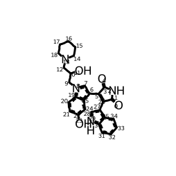 O=C1NC(=O)C(c2cn(CC(O)CN3CCCCC3)c3ccc(O)cc23)=C1c1c[nH]c2ccccc12